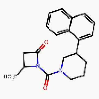 O=C(O)C1CC(=O)N1C(=O)N1CCCC(c2cccc3ccccc23)C1